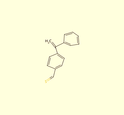 C=C(c1ccccc1)c1ccc(C=S)cc1